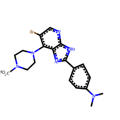 CN(C)c1ccc(-c2nc3c(N4CCN(C(=O)O)CC4)c(Br)cnc3[nH]2)cc1